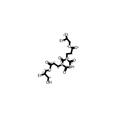 CCC(CC)COC(=O)CCn1c(=O)[nH]c(=O)n(CCC(=O)OCC(CC)CO)c1=O